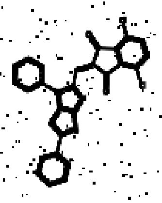 O=C1C(=Cc2nc3sc(-c4ccccc4)cc3n2-c2ccccc2)C(=O)c2c(Cl)ccc(Cl)c21